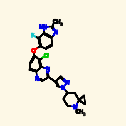 Cc1nc2ccc(Oc3ccc4ncc(-c5cnn(C6CCN(C)C7(CC7)C6)c5)nc4c3Cl)c(F)c2[nH]1